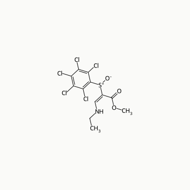 CCN/C=C(\C(=O)OC)[S+]([O-])c1c(Cl)c(Cl)c(Cl)c(Cl)c1Cl